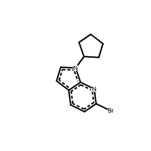 Brc1ccc2ccn(C3CCCC3)c2n1